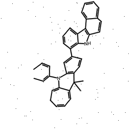 C/C=C\C(=C/C)N1C2=CCC=CC=C2C(C)(C)c2ccc(-c3cccc4c3[nH]c3ccc5ccccc5c34)cc21